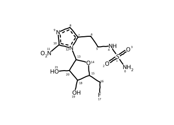 NS(=O)(=O)NCCc1cnc([N+](=O)[O-])n1C1OC(CF)C(O)C1O